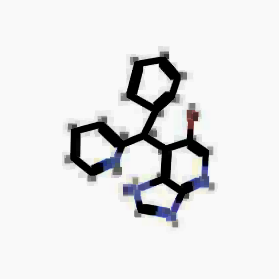 Brc1cnc2nc[nH]c2c1C(c1ccccc1)c1ccccn1